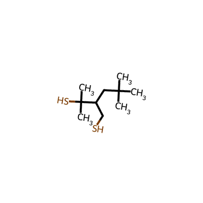 CC(C)(C)CC(CS)C(C)(C)S